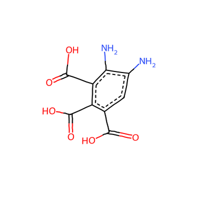 Nc1cc(C(=O)O)c(C(=O)O)c(C(=O)O)c1N